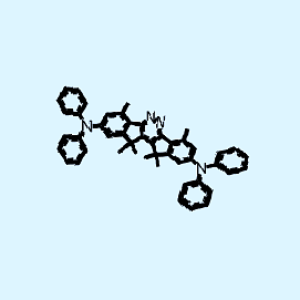 Cc1cc(N(c2ccccc2)c2ccccc2)cc2c1-c1nnc3c(c1C2(C)C)C(C)(C)c1cc(N(c2ccccc2)c2ccccc2)cc(C)c1-3